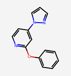 c1ccc(Oc2cc(-n3cccn3)ccn2)cc1